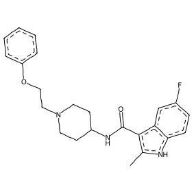 Cc1[nH]c2ccc(F)cc2c1C(=O)NC1CCN(CCOc2ccccc2)CC1